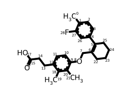 Cc1ccc(C2=C(COc3ccc(CCC(=O)O)c(C)c3C)CCCC2)cc1F